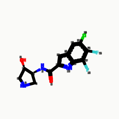 O=C(N[C@@H]1CNC[C@@H]1O)c1cc2cc(Cl)c(F)c(F)c2[nH]1